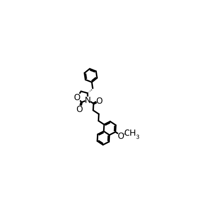 COc1ccc(CCCC(=O)N2C(=O)OC[C@@H]2Cc2ccccc2)c2ccccc12